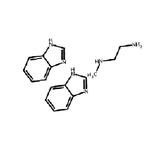 CNCCN.c1ccc2[nH]cnc2c1.c1ccc2[nH]cnc2c1